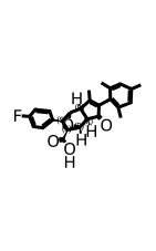 CC1=C(c2c(C)cc(C)cc2C)C(=O)[C@H]2[C@H]3OC([C@@H]12)[C@H](c1ccc(F)cc1)[C@@H]3C(=O)O